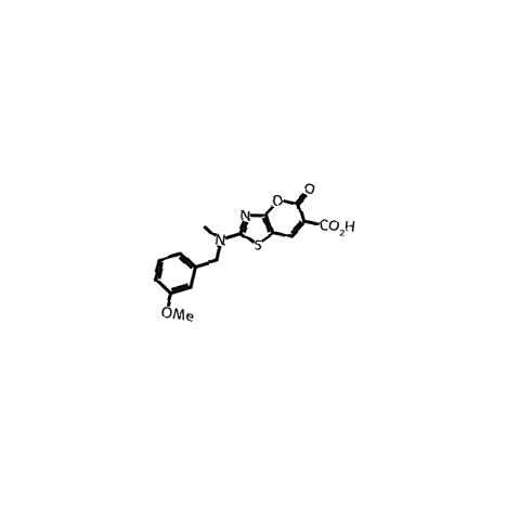 COc1cccc(CN(C)c2nc3oc(=O)c(C(=O)O)cc3s2)c1